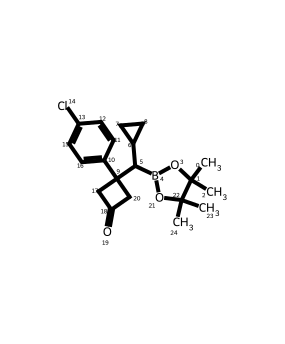 CC1(C)OB(C(C2CC2)C2(c3ccc(Cl)cc3)CC(=O)C2)OC1(C)C